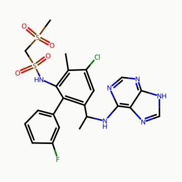 Cc1c(Cl)cc(C(C)Nc2ncnc3[nH]cnc23)c(-c2cccc(F)c2)c1NS(=O)(=O)CS(C)(=O)=O